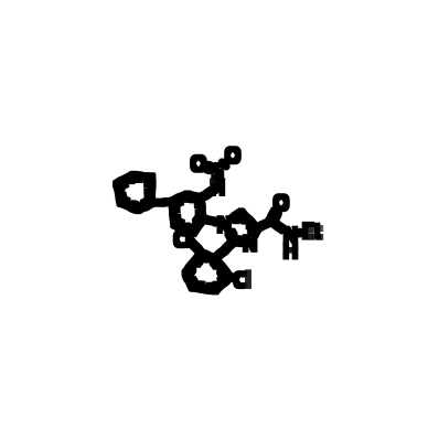 CCNC(=O)c1cn(-c2ccc(-c3ccccc3)cc2C[SH](=O)=O)c(-c2c(Cl)cccc2Cl)n1